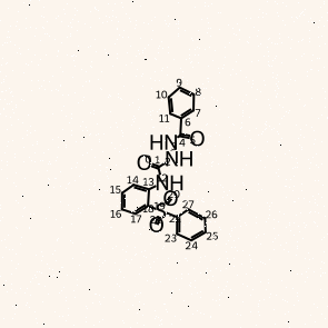 O=C(NNC(=O)c1ccccc1)Nc1ccccc1S(=O)(=O)c1ccccc1